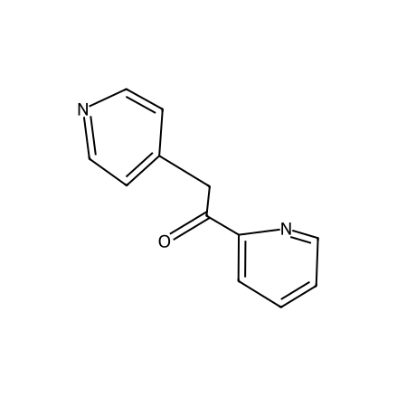 O=C(Cc1ccncc1)c1ccccn1